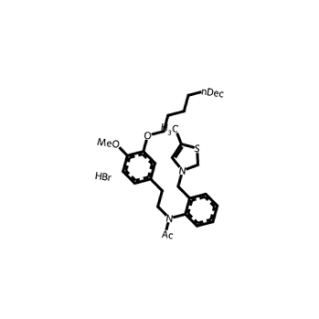 Br.CCCCCCCCCCCCCCOc1cc(CCN(C(C)=O)c2ccccc2CN2C=C(C)SC2)ccc1OC